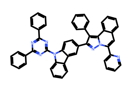 c1ccc(-c2nc(-c3ccccc3)nc(-n3c4ccccc4c4cc(-c5nn6c(-c7ccccn7)cc7ccccc7c6c5-c5ccccc5)ccc43)n2)cc1